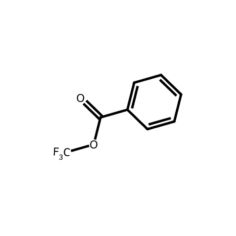 O=C(OC(F)(F)F)c1ccccc1